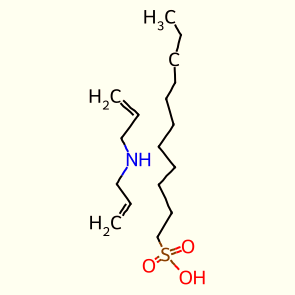 C=CCNCC=C.CCCCCCCCCCCS(=O)(=O)O